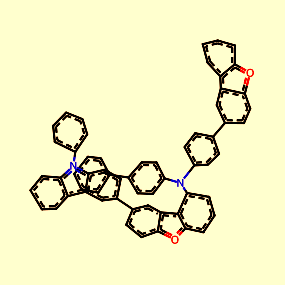 c1ccc(-c2ccc(N(c3ccc(-c4ccc5oc6ccccc6c5c4)cc3)c3cccc4oc5ccc(-c6ccc7c(c6)c6ccccc6n7-c6ccccc6)cc5c34)cc2)cc1